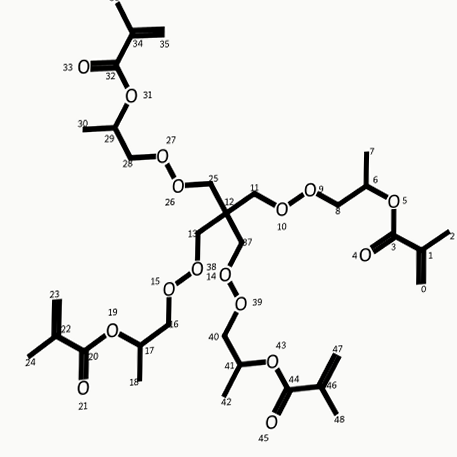 C=C(C)C(=O)OC(C)COOCC(COOCC(C)OC(=O)C(=C)C)(COOCC(C)OC(=O)C(=C)C)COOCC(C)OC(=O)C(=C)C